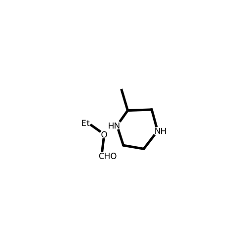 CC1CNCCN1.CCOC=O